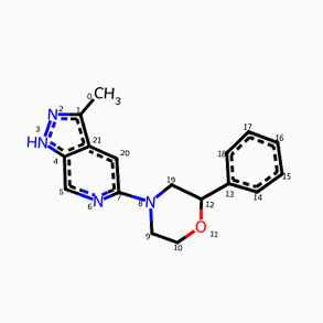 Cc1n[nH]c2cnc(N3CCOC(c4ccccc4)C3)cc12